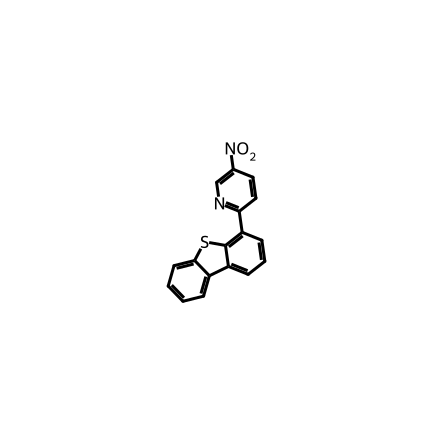 O=[N+]([O-])c1ccc(-c2cccc3c2sc2ccccc23)nc1